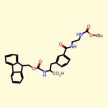 CC(C)(C)OC(=O)NCCNC(=O)c1cccc(CC(NC(=O)OCC2c3ccccc3-c3ccccc32)C(=O)O)c1